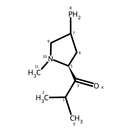 CC(C)C(=O)[C@@H]1CC(P)CN1C